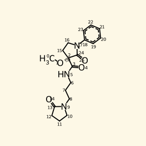 CO[C@]1(C(=O)NCCCN2CCCC2=O)CCN(c2ccccc2)C1=O